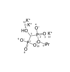 CC(C)OP(=O)([O-])C(O)P(=O)([O-])[O-].[K+].[K+].[K+]